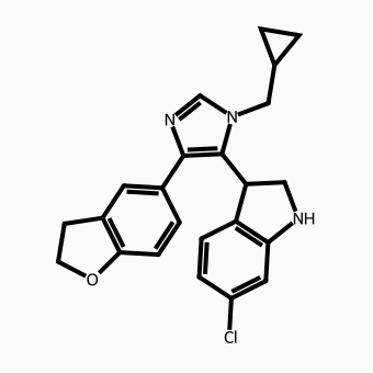 Clc1ccc2c(c1)NCC2c1c(-c2ccc3c(c2)CCO3)ncn1CC1CC1